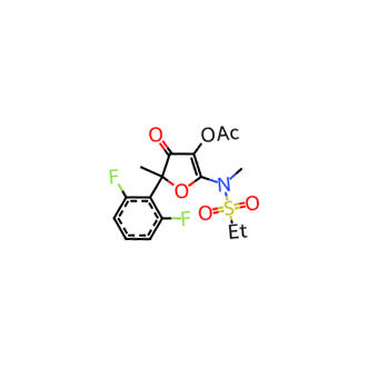 CCS(=O)(=O)N(C)C1=C(OC(C)=O)C(=O)C(C)(c2c(F)cccc2F)O1